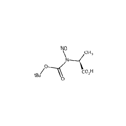 C[C@@H](C(=O)O)N(N=O)C(=O)OC(C)(C)C